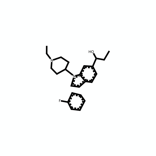 CCC(O)c1ccc2ccn(C3CCN(CC)CC3)c2c1.Fc1ccccc1